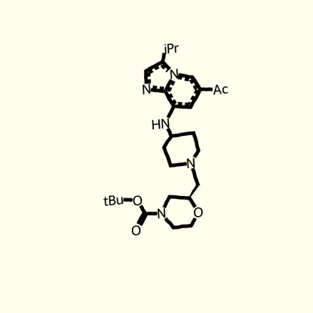 CC(=O)c1cc(NC2CCN(C[C@@H]3CN(C(=O)OC(C)(C)C)CCO3)CC2)c2ncc(C(C)C)n2c1